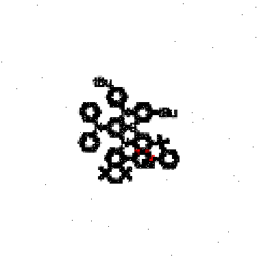 CC(C)(C)c1ccc(N2c3ccc(C(C)(C)C)cc3B3c4cc5c(cc4N(c4ccc6c(c4-c4ccccc4)C(C)(C)CCC6(C)C)c4cc(N(c6ccccc6)c6ccccc6)cc2c43)C(C)(C)c2ccccc2C5(C)C)cc1